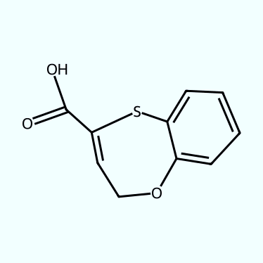 O=C(O)C1=CCOc2ccccc2S1